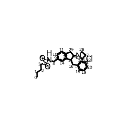 CCCCS(=O)(=O)NCc1ccc2c(c1)C(Cc1cccc(Cl)c1)C(N1CCC1)C2